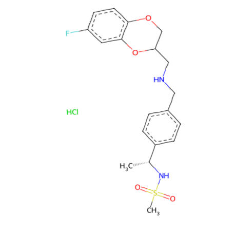 C[C@@H](NS(C)(=O)=O)c1ccc(CNCC2COc3ccc(F)cc3O2)cc1.Cl